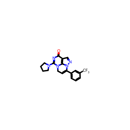 O=c1nc(N2CCCC2)n2c3c1cnn3C(c1cccc(C(F)(F)F)c1)=CC2